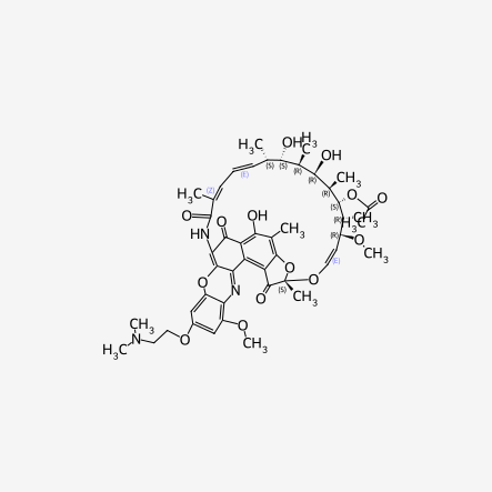 COc1cc(OCCN(C)C)cc2oc3c4c(=O)c5c(O)c(C)c6c(c5c-3nc12)C(=O)[C@@](C)(O/C=C/[C@H](OC)[C@@H](C)[C@@H](OC(C)=O)[C@H](C)[C@H](O)[C@H](C)[C@@H](O)[C@@H](C)/C=C/C=C(/C)C(=O)N4)O6